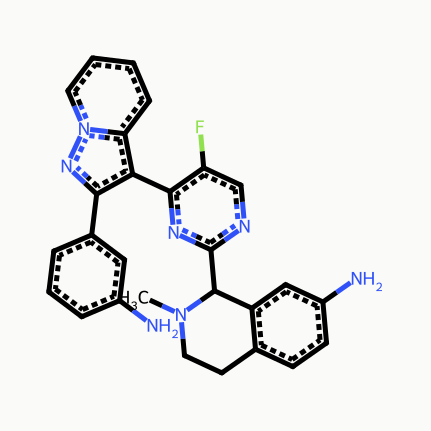 CN1CCc2ccc(N)cc2C1c1ncc(F)c(-c2c(-c3cccc(N)c3)nn3ccccc23)n1